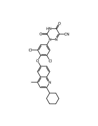 Cc1cc(C2CCCCC2)nc2ccc(Oc3c(Cl)cc(-n4nc(C#N)c(=O)[nH]c4=O)cc3Cl)cc12